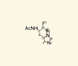 CC(=O)NC(Cc1cnc[nH]1)C(F)F